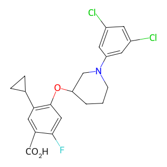 O=C(O)c1cc(C2CC2)c(OC2CCCN(c3cc(Cl)cc(Cl)c3)C2)cc1F